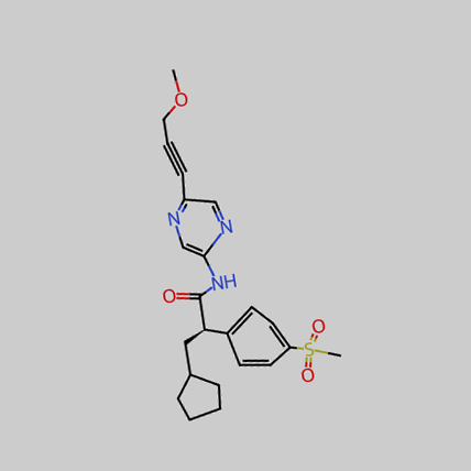 COCC#Cc1cnc(NC(=O)[C@H](CC2CCCC2)c2ccc(S(C)(=O)=O)cc2)cn1